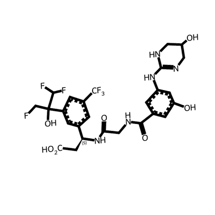 O=C(O)C[C@H](NC(=O)CNC(=O)c1cc(O)cc(NC2=NCC(O)CN2)c1)c1cc(C(F)(F)F)cc(C(O)(CF)C(F)F)c1